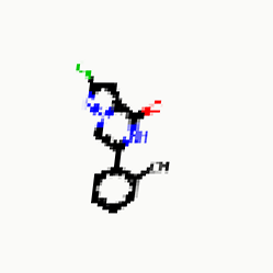 N#Cc1ccccc1-c1cn2nc(Cl)cc2c(=O)[nH]1